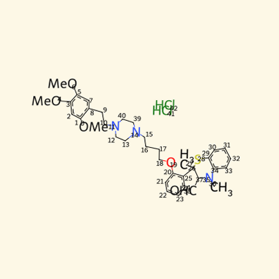 COc1cc(OC)c(OC)cc1CCN1CCN(CCCCOc2ccccc2C2(C)Sc3ccccc3N(C)C2C=O)CC1.Cl.Cl